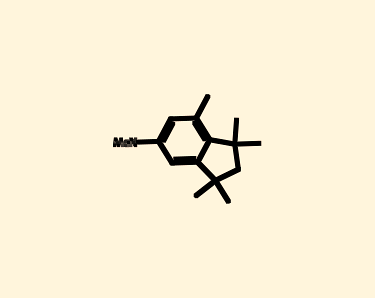 CNc1cc(C)c2c(c1)C(C)(C)CC2(C)C